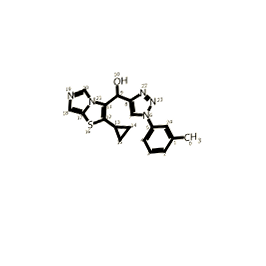 Cc1cccc(-n2cc(C(O)c3c(C4CC4)sc4cncn34)nn2)c1